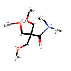 CON(C)C(=O)C(COC(C)(C)C)(COC(C)(C)C)COC(C)(C)C